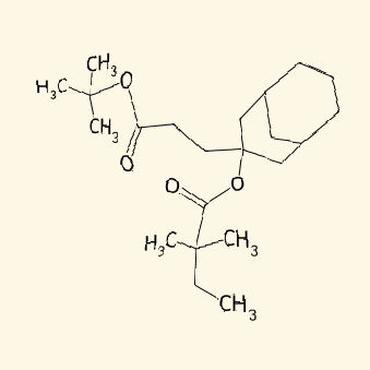 CCC(C)(C)C(=O)OC1(CCC(=O)OC(C)(C)C)CC2CCCC(C2)C1